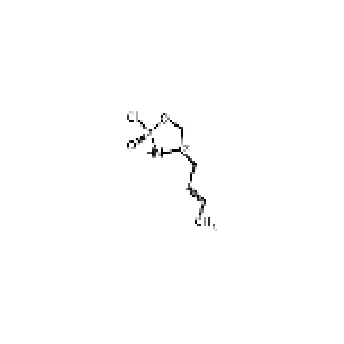 CC=CC[C@@H]1COP(=O)(Cl)N1